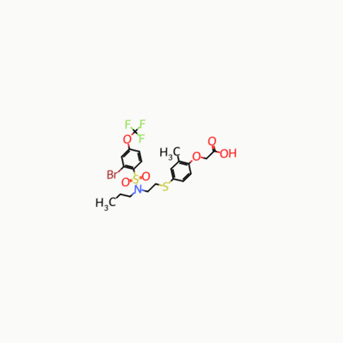 CCCN(CCSc1ccc(OCC(=O)O)c(C)c1)S(=O)(=O)c1ccc(OC(F)(F)F)cc1Br